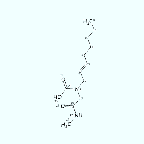 CCCCC/C=C/CN(CC(=O)NC)C(=O)O